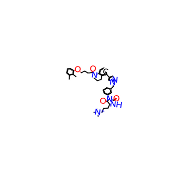 Cc1cccc(OCCCC(=O)N2CCCc3c(-c4cnn(Cc5cccc(N6C(=O)NC(CCC[N+](C)(C)C)C6=O)c5)c4)cccc32)c1C